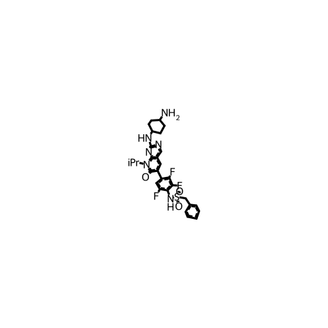 CC(C)n1c(=O)c(-c2cc(F)c(NS(=O)(=O)Cc3ccccc3)c(F)c2F)cc2cnc(NC3CCC(N)CC3)nc21